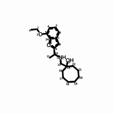 CCOc1cccc2cc(C(C)NCC3(O)CCCCCCC3)oc12